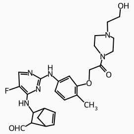 Cc1ccc(Nc2ncc(F)c(NC3C4C=CC(C4)C3C=O)n2)cc1OCC(=O)N1CCN(CCO)CC1